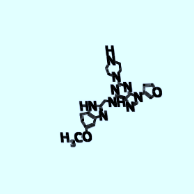 COc1ccc2[nH]c(CNc3nc(N4CCNCC4)nc4c3ncn4-c3ccoc3)nc2c1